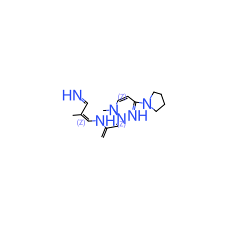 C=C(/C=N\N(C)/C=C\C(=N)N1CCCC1)N/C=C(/C)C=N